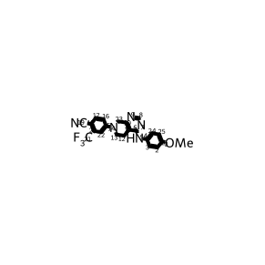 COc1ccc(Nc2ncnc3c2CCN(c2ccc(C#N)c(C(F)(F)F)c2)C3)cc1